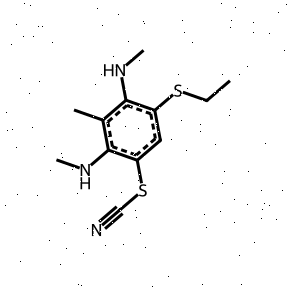 CCSc1cc(SC#N)c(NC)c(C)c1NC